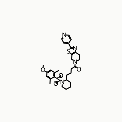 COc1cc(C)c(S(=O)(=O)N2CCCCC2CCCC(=O)N2CCc3nc(-c4ccncc4)sc3C2)c(C)c1